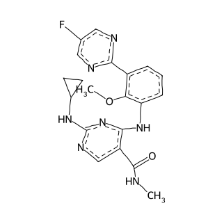 CNC(=O)c1cnc(NC2CC2)nc1Nc1cccc(-c2ncc(F)cn2)c1OC